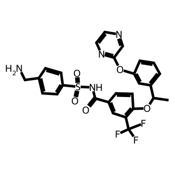 CC(Oc1ccc(C(=O)NS(=O)(=O)c2ccc(CN)cc2)cc1C(F)(F)F)c1cccc(Oc2cnccn2)c1